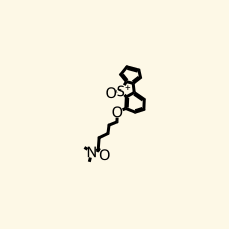 CN(C)C(=O)CCCCOc1cccc2c3ccccc3[s+]([O-])c12